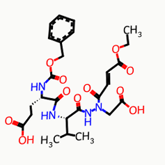 CCOC(=O)/C=C/C(=O)N(CC(=O)O)NC(=O)[C@@H](NC(=O)[C@H](CCC(=O)O)NC(=O)OCc1ccccc1)C(C)C